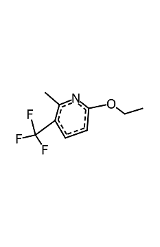 CCOc1ccc(C(F)(F)F)c(C)n1